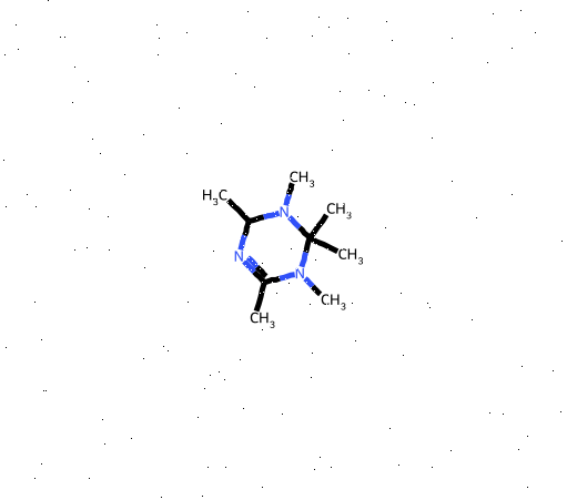 CC1=NC(C)N(C)C(C)(C)N1C